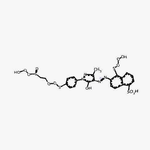 Cc1nn(-c2ccc(SOOCCS(=O)OOO)cc2)c(O)c1/N=N/c1ccc2c(S(=O)(=O)O)cccc2c1SOOO